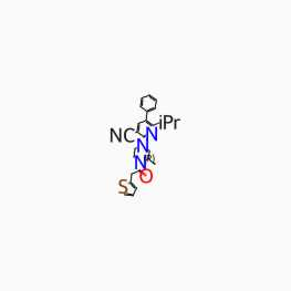 CC(C)c1nc(N2CCN(C(=O)Cc3cccs3)[C@H](C)C2)c(C#N)cc1-c1ccccc1